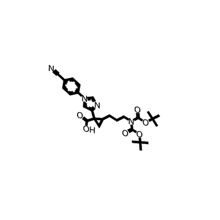 CC(C)(C)OC(=O)N(CCCC1CC1(C(=O)O)c1cn(-c2ccc(C#N)cc2)cn1)C(=O)OC(C)(C)C